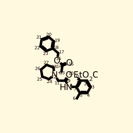 CCOC(=O)c1cccc(C)c1NC(=O)C[N+]1(CC(=O)OCc2ccccc2)CCCCC1